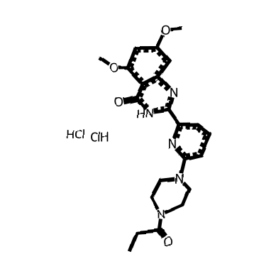 CCC(=O)N1CCN(c2cccc(-c3nc4cc(OC)cc(OC)c4c(=O)[nH]3)n2)CC1.Cl.Cl